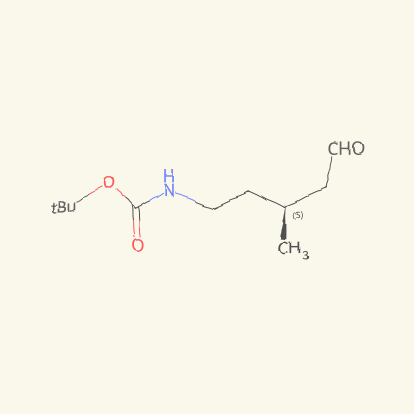 C[C@H](CC=O)CCNC(=O)OC(C)(C)C